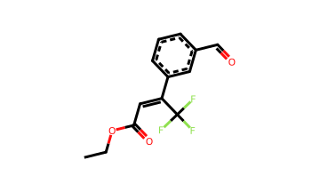 CCOC(=O)/C=C(/c1cccc(C=O)c1)C(F)(F)F